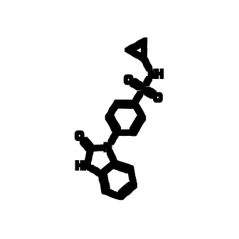 O=c1[nH]c2ccccc2n1-c1ccc(S(=O)(=O)NC2CC2)cc1